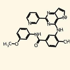 COc1cccc(NC(=O)c2ccc(C)c(Nc3nc(-c4cccnc4)nc4cc[nH]c34)c2)c1